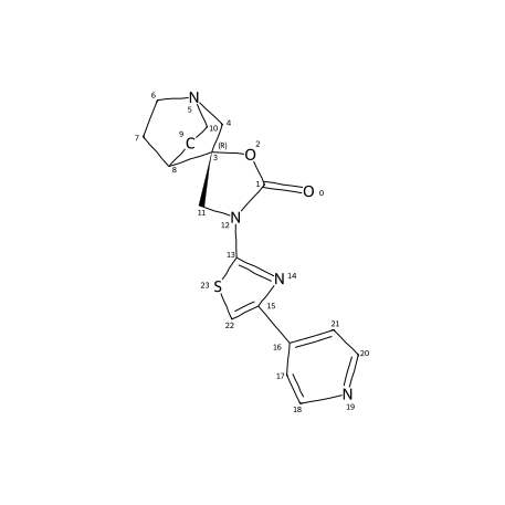 O=C1O[C@]2(CN3CCC2CC3)CN1c1nc(-c2ccncc2)cs1